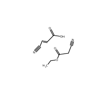 CCOC(=O)CC#N.N#CC=CC(=O)O